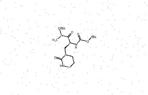 CON(C)C(=O)[C@H](CN1CCCNC1=O)NC(=O)OC(C)(C)C